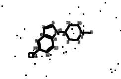 CN1CCC(n2ccc3cc(Cl)ccc32)CC1